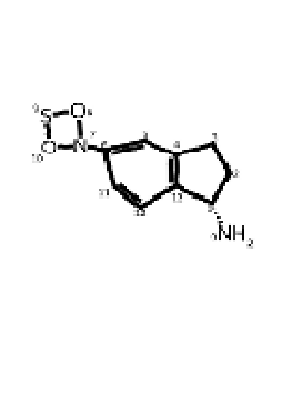 N[C@H]1CCc2cc(N3OSO3)ccc21